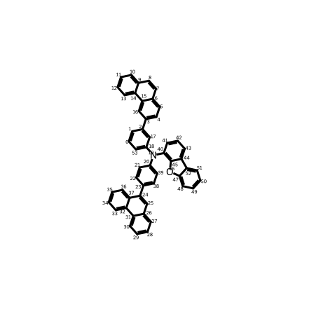 c1cc(-c2ccc3ccc4ccccc4c3c2)cc(N(c2ccc(-c3cc4ccccc4c4ccccc34)cc2)c2cccc3c2oc2ccccc23)c1